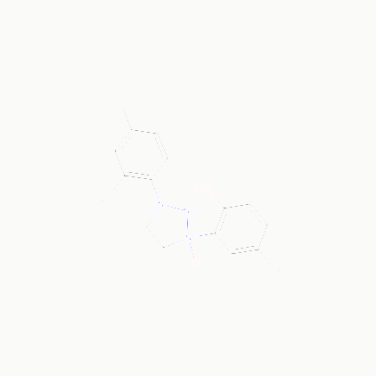 [O-][N+]1(c2cc(Cl)ccc2O)CCN(c2ccc(C(F)(F)F)cc2C(F)(F)F)N1